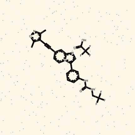 Cc1noc(C)c1C#Cc1ccn2c(-c3cccc(NC(=O)NCC(F)(F)F)c3)cnc2c1.O=C(O)C(F)(F)F